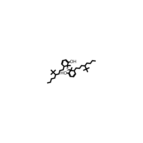 CCCCC(CCCC1C=CC=C(O)C1(C)SC1(C)C(O)=CC=CC1CCCC(CCCC)C(C)(C)C)C(C)(C)C